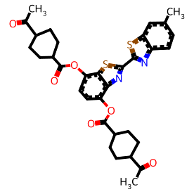 CC(=O)C1CCC(C(=O)Oc2ccc(OC(=O)C3CCC(C(C)=O)CC3)c3sc(-c4nc5ccc(C)cc5s4)nc23)CC1